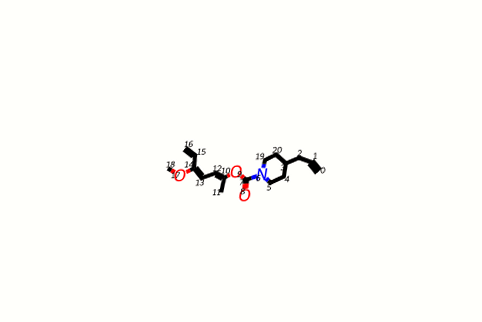 C#CCC1CCN(C(=O)O/C(C)=C/C=C(\C=C)OC)CC1